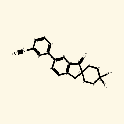 [C-]#[N+]c1cccc(-c2ccc3c(c2)C(=O)C2(CCC(F)(F)CC2)C3)c1